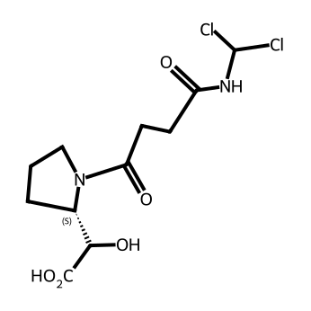 O=C(CCC(=O)N1CCC[C@H]1C(O)C(=O)O)NC(Cl)Cl